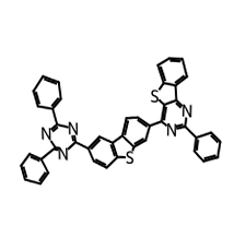 c1ccc(-c2nc(-c3ccccc3)nc(-c3ccc4sc5cc(-c6nc(-c7ccccc7)nc7c6sc6ccccc67)ccc5c4c3)n2)cc1